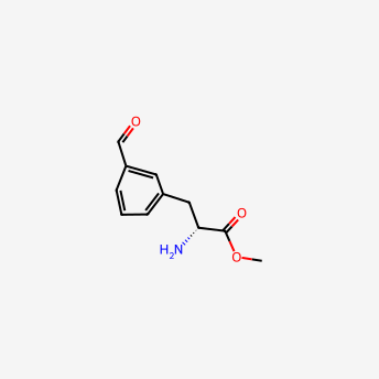 COC(=O)[C@H](N)Cc1cccc(C=O)c1